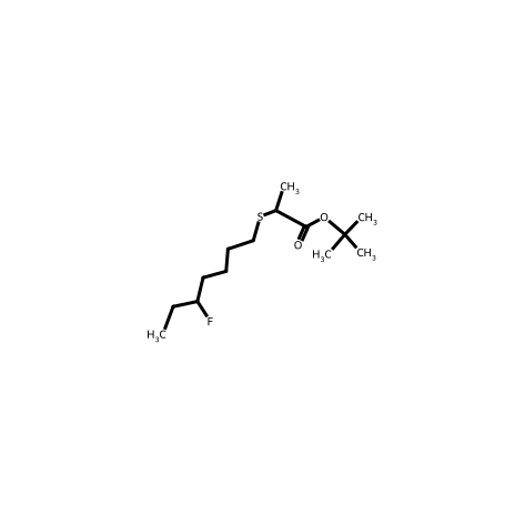 CCC(F)CCCCSC(C)C(=O)OC(C)(C)C